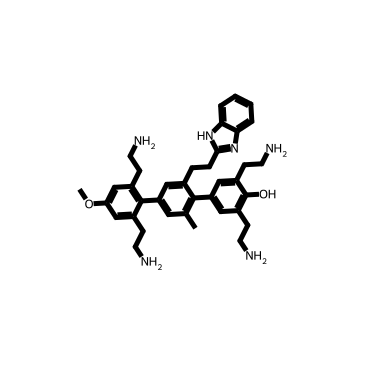 COc1cc(CCN)c(-c2cc(C)c(-c3cc(CCN)c(O)c(CCN)c3)c(CCc3nc4ccccc4[nH]3)c2)c(CCN)c1